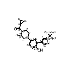 [2H]C([2H])([2H])n1cc(-c2nc(N3CCN(C(=O)C4CC4)[C@H](C)C3)cnc2C#N)cn1